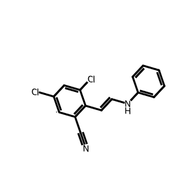 N#Cc1[c]c(Cl)cc(Cl)c1C=CNc1ccccc1